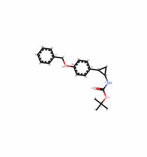 CC(C)(C)OC(=O)NC1CC1c1ccc(OCc2ccccc2)cc1